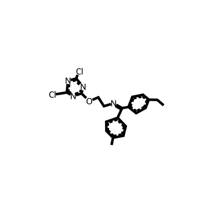 CCc1ccc(/C(=N/CCOc2nc(Cl)nc(Cl)n2)c2ccc(C)cc2)cc1